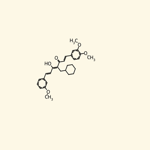 COc1cccc(/C=C/C(O)=C(\CC2CCCCC2)C(=O)/C=C/c2ccc(OC)c(OC)c2)c1